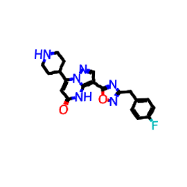 O=c1cc(C2CCNCC2)n2ncc(-c3nc(Cc4ccc(F)cc4)no3)c2[nH]1